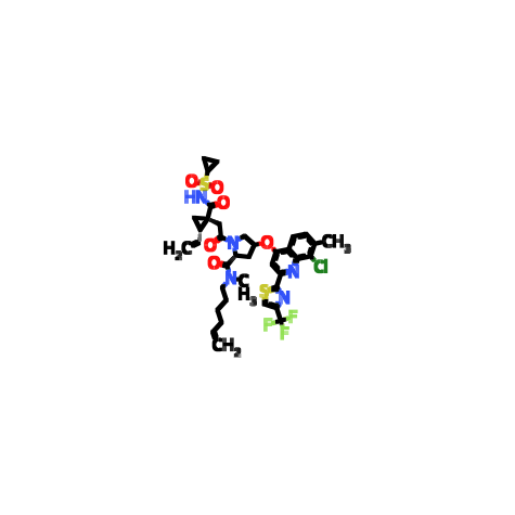 C=CCCCCN(C)C(=O)[C@@H]1CC(Oc2cc(-c3nc(C(F)(F)F)cs3)nc3c(Cl)c(C)ccc23)CN1C(=O)C[C@]1(C(=O)NS(=O)(=O)C2CC2)C[C@H]1C=C